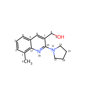 Cc1cccc2cc(CO)c(N3CCCC3)nc12